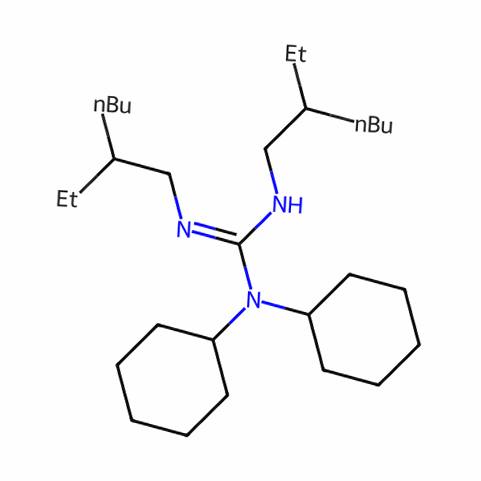 CCCCC(CC)CN=C(NCC(CC)CCCC)N(C1CCCCC1)C1CCCCC1